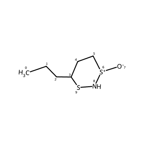 CCCC1CC[S+]([O-])NS1